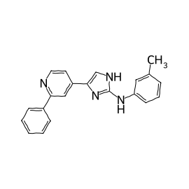 Cc1cccc(Nc2nc(-c3ccnc(-c4ccccc4)c3)c[nH]2)c1